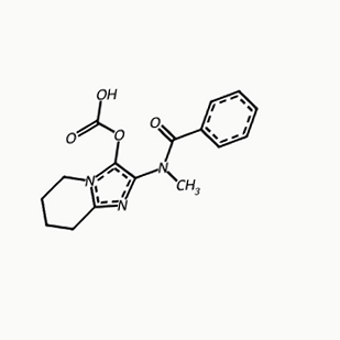 CN(C(=O)c1ccccc1)c1nc2n(c1OC(=O)O)CCCC2